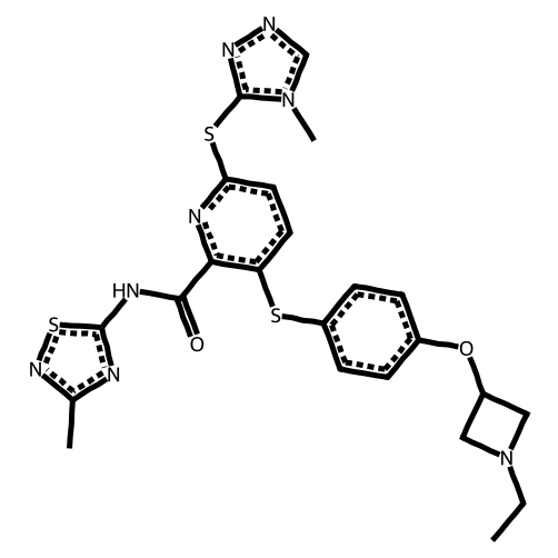 CCN1CC(Oc2ccc(Sc3ccc(Sc4nncn4C)nc3C(=O)Nc3nc(C)ns3)cc2)C1